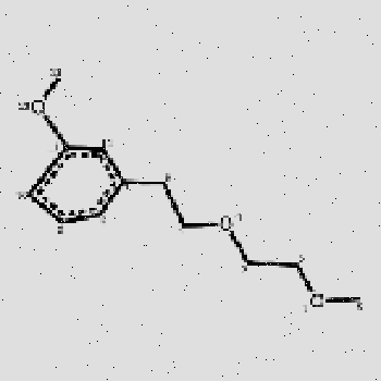 COCCOCCc1cccc(OC)c1